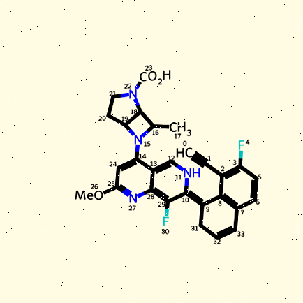 C#Cc1c(F)ccc2c1C(=C1NC=c3c(N4C(C)C5C4CCN5C(=O)O)cc(OC)nc3=C1F)CC=C2